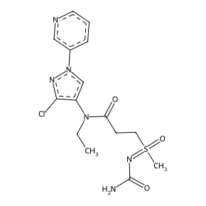 CCN(C(=O)CCS(C)(=O)=NC(N)=O)c1cn(-c2cccnc2)nc1Cl